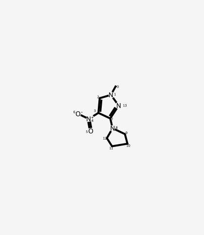 Cn1cc([N+](=O)[O-])c(N2CCCC2)n1